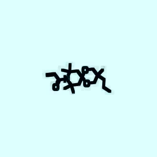 C=CC(=O)N1C(C)(C)CC2(CC1(C)C)OCC(C)(CCC)CO2